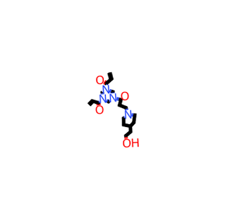 C=CC(=O)N1CN(C(=O)C=C)CN(C(=O)CCN2CCC(CCO)CC2)C1